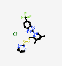 Cc1cc(C)c(CSSc2ncccn2)[n+](-c2nc3cc(C(F)(F)F)ccc3[nH]2)c1.[Cl-]